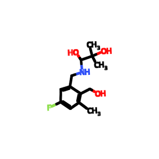 Cc1cc(F)cc(CNC(O)C(C)(C)O)c1CO